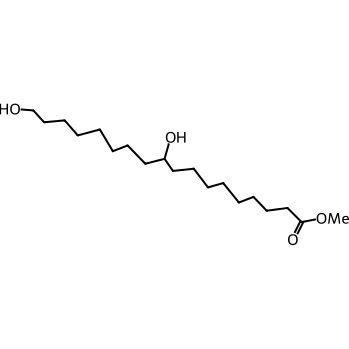 COC(=O)CCCCCCCCC(O)CCCCCCCCO